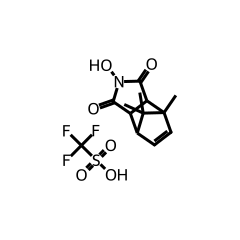 CC1(C)C2C=CC1(C)C1C(=O)N(O)C(=O)C21.O=S(=O)(O)C(F)(F)F